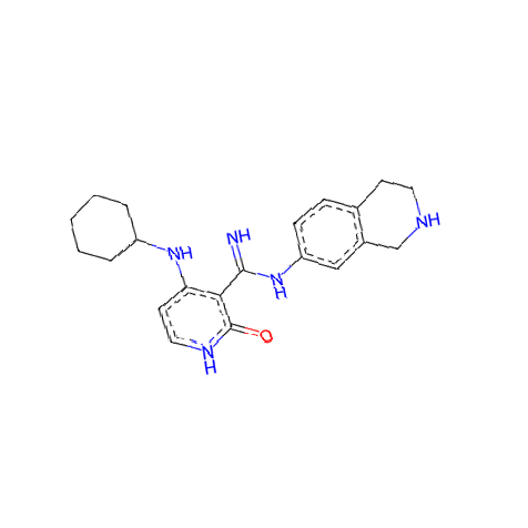 N=C(Nc1ccc2c(c1)CNCC2)c1c(NC2CCCCC2)cc[nH]c1=O